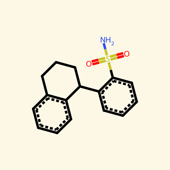 NS(=O)(=O)c1ccccc1C1CCCc2ccccc21